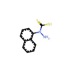 NN(C(=S)S)c1cccc2ccccc12